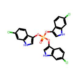 O=P(Oc1c[nH]c2cc(Cl)ccc12)(Oc1c[nH]c2cc(Cl)ccc12)Oc1c[nH]c2cc(Cl)ccc12